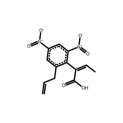 C=CCc1cc([N+](=O)[O-])cc([N+](=O)[O-])c1C(=CC)C(=O)O